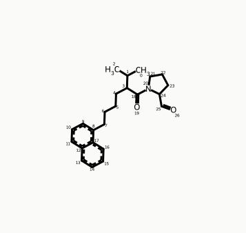 CC(C)C(CCCCc1cccc2ccccc12)C(=O)N1CCCC1C=O